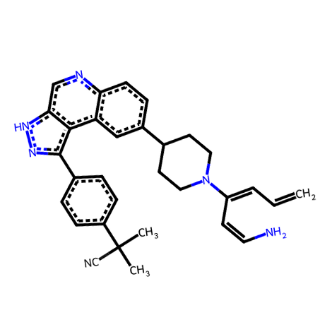 C=C/C=C(\C=C/N)N1CCC(c2ccc3ncc4[nH]nc(-c5ccc(C(C)(C)C#N)cc5)c4c3c2)CC1